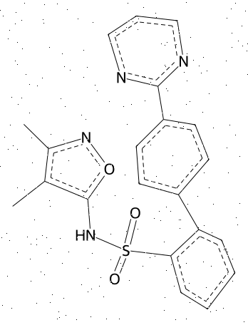 Cc1noc(NS(=O)(=O)c2ccccc2-c2ccc(-c3ncccn3)cc2)c1C